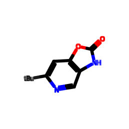 CC(C)(C)c1cc2oc(=O)[nH]c2cn1